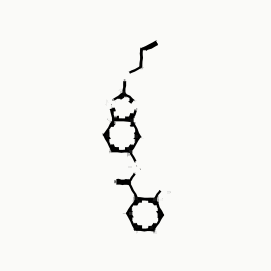 C=CCSc1nc2ccc(NC(=O)c3ccccc3Cl)cc2s1